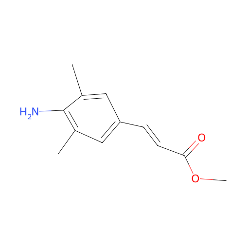 COC(=O)C=Cc1cc(C)c(N)c(C)c1